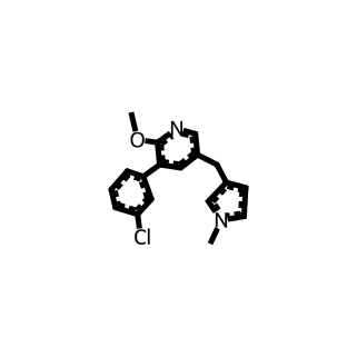 COc1ncc(Cc2ccn(C)c2)cc1-c1cccc(Cl)c1